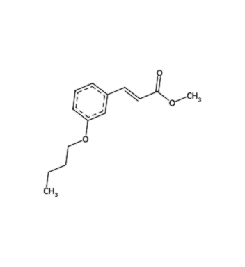 CCCCOc1cccc(/C=C/C(=O)OC)c1